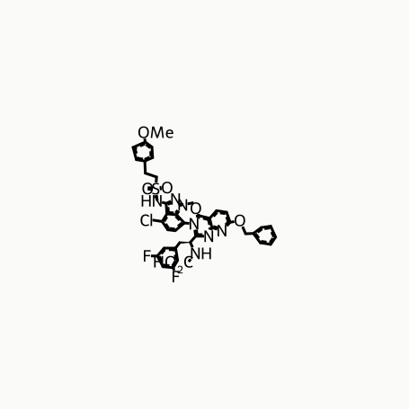 COc1ccc(CCS(=O)(=O)Nc2nn(C)c3c(-n4c([C@H](Cc5cc(F)cc(F)c5)NC(=O)O)nc5nc(OCc6ccccc6)ccc5c4=O)ccc(Cl)c23)cc1